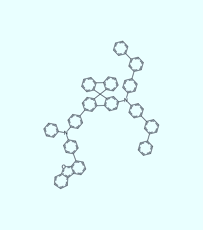 c1ccc(-c2cccc(-c3ccc(N(c4ccc(-c5cccc(-c6ccccc6)c5)cc4)c4ccc5c(c4)C4(c6ccccc6-c6ccccc64)c4ccc(-c6ccc(N(c7ccccc7)c7ccc(-c8cccc9c8oc8ccccc89)cc7)cc6)cc4-5)cc3)c2)cc1